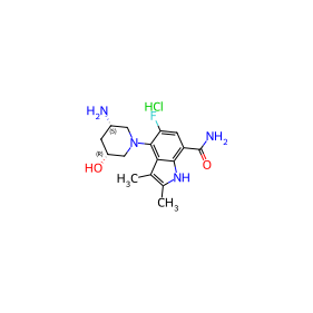 Cc1[nH]c2c(C(N)=O)cc(F)c(N3C[C@@H](N)C[C@@H](O)C3)c2c1C.Cl